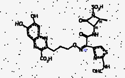 C[C@H]1[C@@H](NC(=O)/C(=N\OCCCc2nc3cc(O)c(O)cc3nc2C(=O)O)c2csc(NC=O)n2)C(=O)N1S(=O)(=O)O